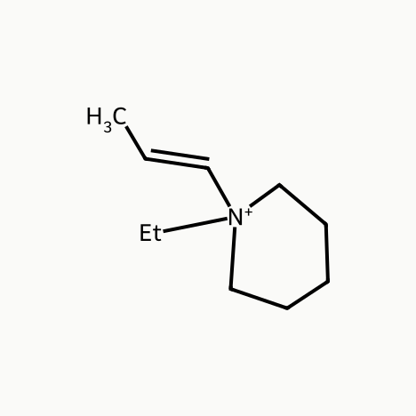 C/C=C/[N+]1(CC)CCCCC1